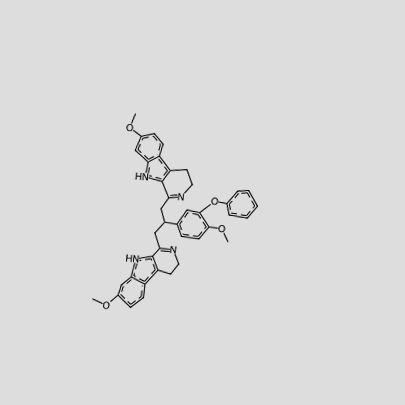 COc1ccc2c3c([nH]c2c1)C(CC(CC1=NCCc2c1[nH]c1cc(OC)ccc21)c1ccc(OC)c(Oc2ccccc2)c1)=NCC3